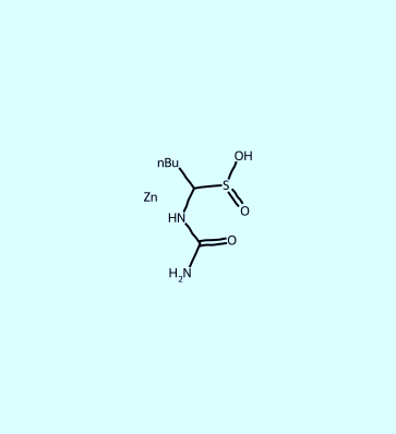 CCCCC(NC(N)=O)S(=O)O.[Zn]